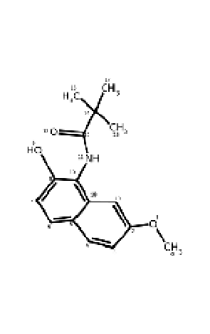 COc1ccc2ccc(O)c(NC(=O)C(C)(C)C)c2c1